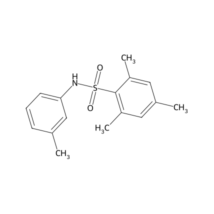 Cc1cccc(NS(=O)(=O)c2c(C)cc(C)cc2C)c1